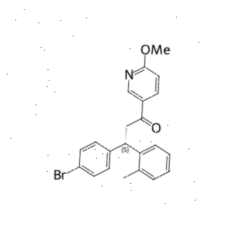 COc1ccc(C(=O)C[C@@H](c2ccc(Br)cc2)c2ccccc2C)cn1